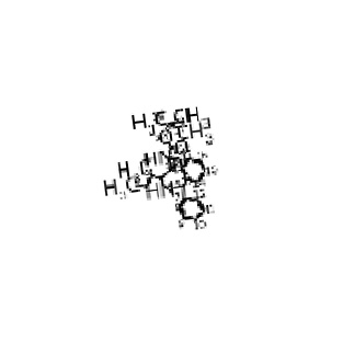 CC[C@H](C)[C@H](NC(c1ccccc1)c1ccccc1)C(=O)NC(=O)OC(C)(C)C